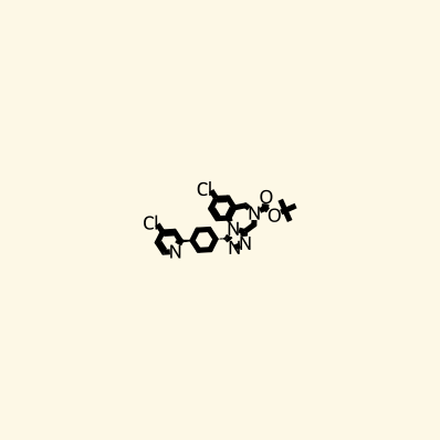 CC(C)(C)OC(=O)N1Cc2cc(Cl)ccc2-n2c(nnc2[C@H]2CC[C@H](c3cc(Cl)ccn3)CC2)C1